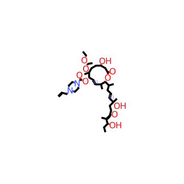 C=CCN1CCN(C(=O)OC2/C=C/C(C)C(C(C)C/C=C/C(C)(O)CC3OC3=C(C)C(O)CC)OC(=O)CC(O)CCC2(C)OC(C)OCC)CC1